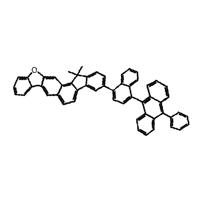 CC1(C)c2ccc(-c3ccc(-c4c5ccccc5c(-c5ccccc5)c5ccccc45)c4ccccc34)cc2-c2ccc3cc4c(cc3c21)oc1ccccc14